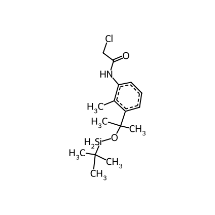 Cc1c(NC(=O)CCl)cccc1C(C)(C)O[SiH2]C(C)(C)C